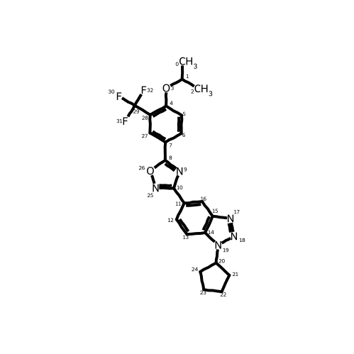 CC(C)Oc1ccc(-c2nc(-c3ccc4c(c3)nnn4C3CCCC3)no2)cc1C(F)(F)F